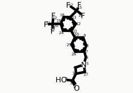 O=C(O)C1CN(Cc2ccc(-c3cc(C(F)(F)F)cc(C(F)(F)F)c3)cc2)C1